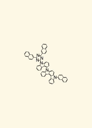 c1ccc2cc(-c3nc(-c4ccc5ccccc5c4)nc(-n4c5ccccc5c5c(-n6c7ccccc7c7c8c9ccccc9n(-c9ccc%10ccccc%10c9)c8ccc76)cccc54)n3)ccc2c1